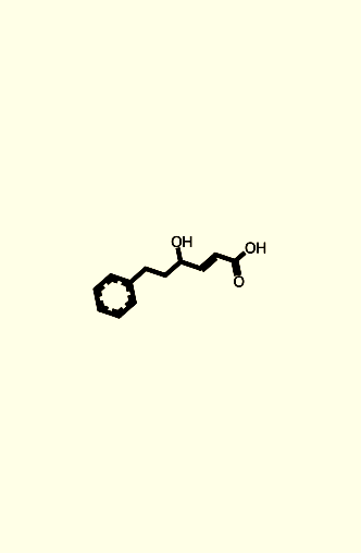 O=C(O)C=CC(O)CCc1ccccc1